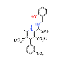 CCOC(=O)C1=C(C)NC(C(NCc2ccccc2O)SC)=C(C(=O)OCC)C1c1cccc([N+](=O)[O-])c1